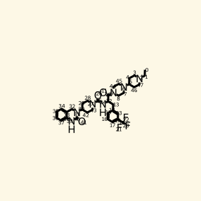 CCN1CCC(N2CCN(C(=O)C(Cc3cccc(C(F)(F)F)c3)NC(=O)N3CCC(N4Cc5ccccc5NC4=O)CC3)CC2)CC1